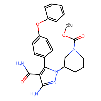 CC(C)(C)OC(=O)N1CCCC(n2nc(N)c(C(N)=O)c2-c2ccc(Oc3ccccc3)cc2)C1